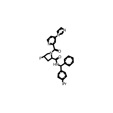 CC(C)c1ccc(C(NC(=O)C2CC(F)CN2C(=O)c2cc(-n3ccnc3)ccn2)c2ccccc2)cc1